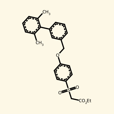 CCOC(=O)CS(=O)(=O)c1ccc(OCc2cccc(-c3c(C)cccc3C)c2)cc1